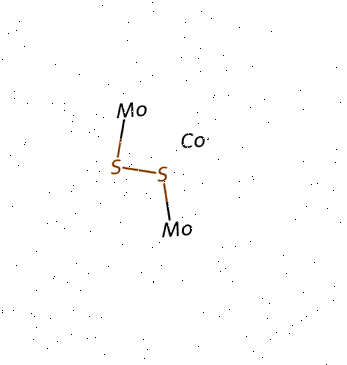 [Co].[Mo][S][S][Mo]